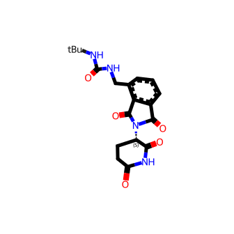 CC(C)(C)NC(=O)NCc1cccc2c1C(=O)N([C@H]1CCC(=O)NC1=O)C2=O